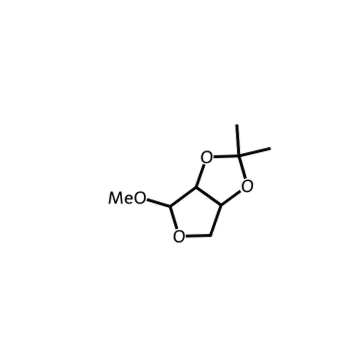 COC1OCC2OC(C)(C)OC21